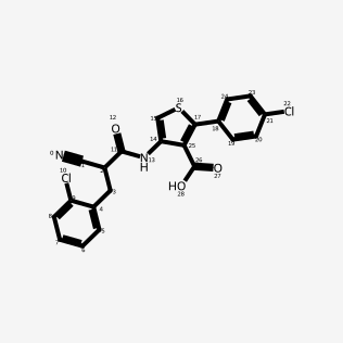 N#CC(Cc1ccccc1Cl)C(=O)Nc1csc(-c2ccc(Cl)cc2)c1C(=O)O